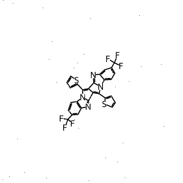 FC(F)(F)c1ccc2c(c1)nc1c3c(-c4cccs4)n4c5ccc(C(F)(F)F)cc5nc4c3c(-c3cccs3)n21